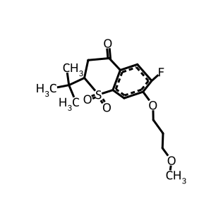 COCCCOc1cc2c(cc1F)C(=O)CC(C(C)(C)C)S2(=O)=O